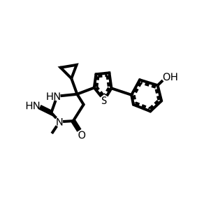 CN1C(=N)NC(c2ccc(-c3cccc(O)c3)s2)(C2CC2)CC1=O